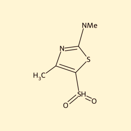 CNc1nc(C)c([SH](=O)=O)s1